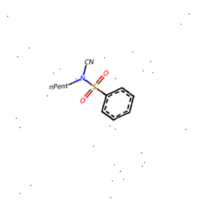 CCCCCN(C#N)S(=O)(=O)c1ccccc1